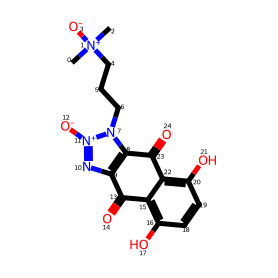 C[N+](C)([O-])CCCn1c2c(n[n+]1[O-])C(=O)c1c(O)ccc(O)c1C2=O